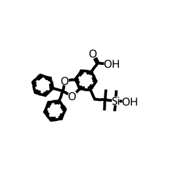 CC(C)(Cc1cc(C(=O)O)cc2c1OC(c1ccccc1)(c1ccccc1)O2)[Si](C)(C)O